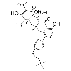 CC(=O)C1=C(O)C(C(C)C)[C@@]2(C)C[C@@]3(C)Cc4c(-c5ccc(/C=C\CC(C)(C)C)cc5)ccc(O)c4C(=O)C3=C(O)[C@@]2(O)C1=O